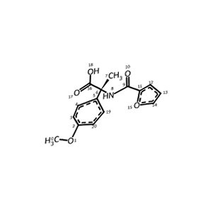 COc1ccc([C@@](C)(NC(=O)c2ccco2)C(=O)O)cc1